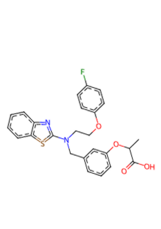 CC(Oc1cccc(CN(CCOc2ccc(F)cc2)c2nc3ccccc3s2)c1)C(=O)O